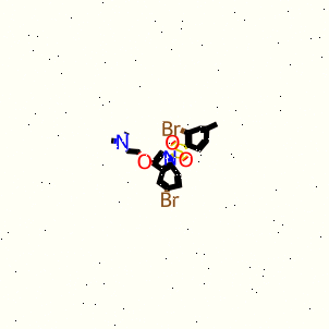 Cc1ccc(S(=O)(=O)n2cc(OCCN(C)C)c3cc(Br)ccc32)c(Br)c1